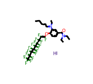 CCCCCN(CC)c1cc(C(=O)N(CC)CC)ccc1OC(F)=C(F)C(F)(F)C(F)(F)C(F)(F)C(F)(F)C(F)(F)C(F)(F)C(F)(F)F.I